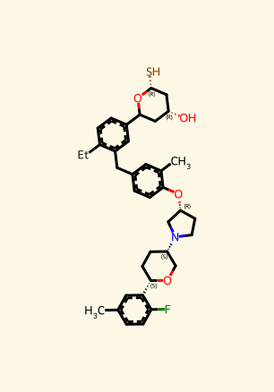 CCc1ccc(C2C[C@@H](O)C[C@@H](S)O2)cc1Cc1ccc(O[C@@H]2CCN([C@H]3CC[C@@H](c4cc(C)ccc4F)OC3)C2)c(C)c1